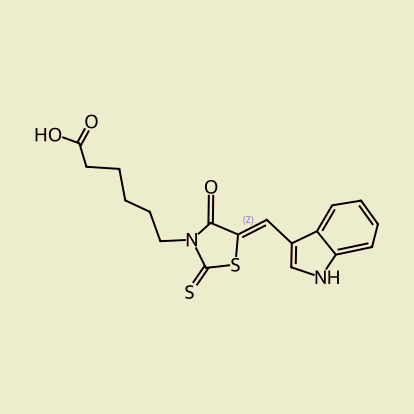 O=C(O)CCCCCN1C(=O)/C(=C/c2c[nH]c3ccccc23)SC1=S